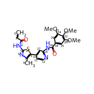 C=CC(=O)Nc1nc(C)c(-c2ccnc(NC(=O)c3cc(OC)c(OC)c(OC)c3)c2)s1